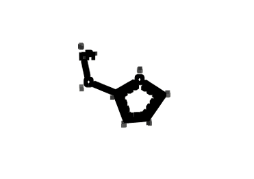 [CH2]CCOc1ccco1